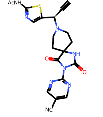 C#C[C@H](c1cnc(NC(C)=O)s1)N1CCC2(CC1)NC(=O)N(c1ncc(C#N)cn1)C2=O